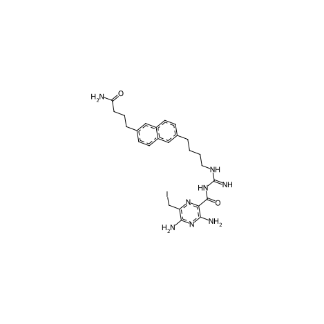 N=C(NCCCCc1ccc2cc(CCCC(N)=O)ccc2c1)NC(=O)c1nc(CI)c(N)nc1N